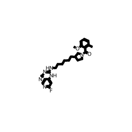 COc1cccc(C)c1C(=O)N1CCC(CCCCCCN/C(=N/C#N)Nc2ccnc(F)c2)C1